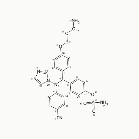 N#Cc1ccc(N(C(c2ccc(OSOON)cc2)c2ccc(OS(N)(=O)=O)cc2)n2cnnc2)cc1